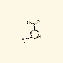 [O-][S+](Cl)c1cncc(C(F)(F)F)c1